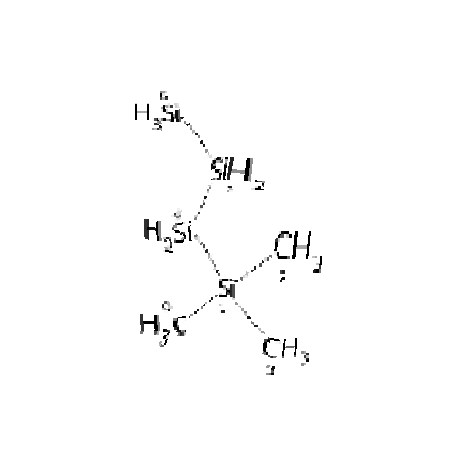 C[Si](C)(C)[SiH2][SiH2][SiH3]